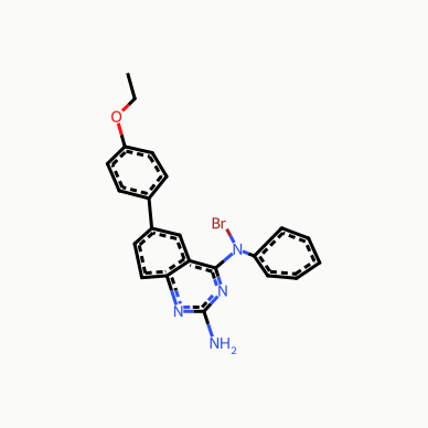 CCOc1ccc(-c2ccc3nc(N)nc(N(Br)c4ccccc4)c3c2)cc1